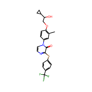 Cc1cc(-n2ccnc(Sc3ccc(C(F)(F)F)cc3)c2=O)ccc1OCC(O)C1CC1